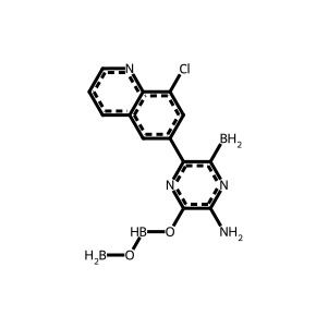 BOBOc1nc(-c2cc(Cl)c3ncccc3c2)c(B)nc1N